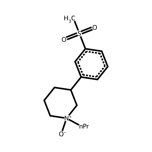 CCC[N+]1([O-])CCCC(c2cccc(S(C)(=O)=O)c2)C1